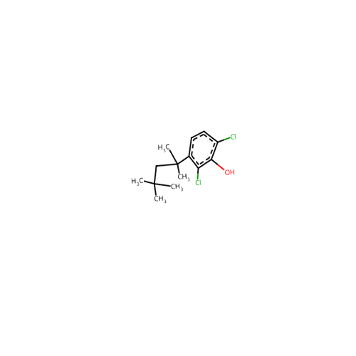 CC(C)(C)CC(C)(C)c1ccc(Cl)c(O)c1Cl